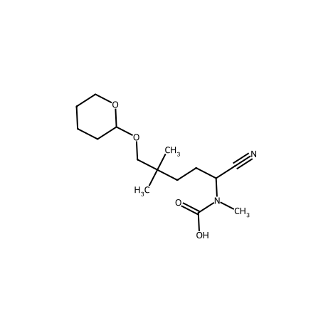 CN(C(=O)O)C(C#N)CCC(C)(C)COC1CCCCO1